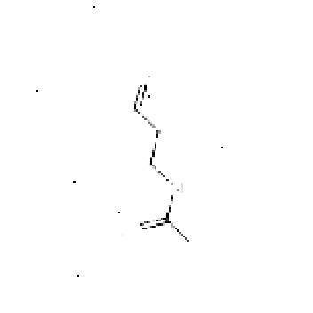 CC(=O)NCC[C]=O